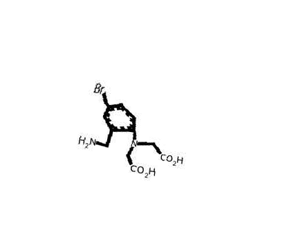 NCc1cc(Br)ccc1N(CC(=O)O)CC(=O)O